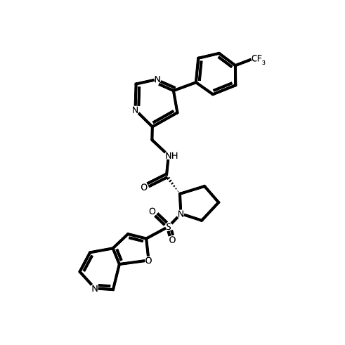 O=C(NCc1cc(-c2ccc(C(F)(F)F)cc2)ncn1)[C@@H]1CCCN1S(=O)(=O)c1cc2ccncc2o1